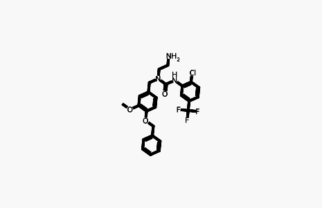 COc1cc(CN(CCN)C(=O)Nc2cc(C(F)(F)F)ccc2Cl)ccc1OCc1ccccc1